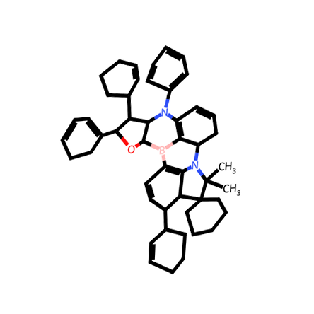 CC1(C)N2C3=C(C=CC(C4C=CCCC4)C3C13CCCCC3)B1C3=C(C=CCC32)N(c2ccccc2)C2C1OC(C1=CC=CCC1)C2C1C=CCCC1